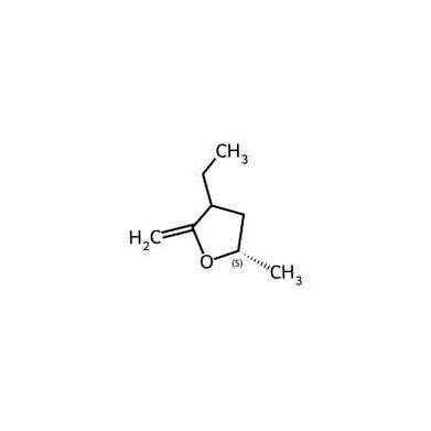 C=C1O[C@@H](C)CC1CC